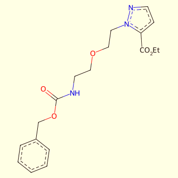 CCOC(=O)c1ccnn1CCOCCNC(=O)OCc1ccccc1